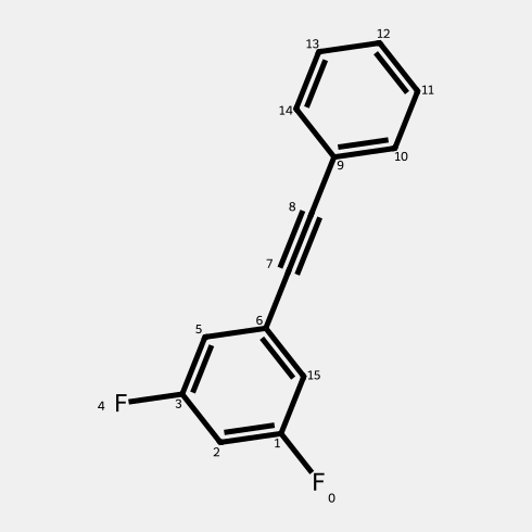 Fc1cc(F)cc(C#Cc2ccccc2)c1